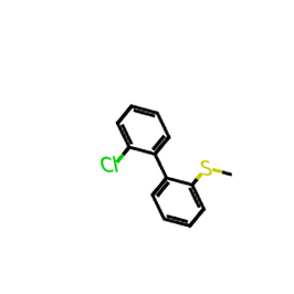 CSc1ccccc1-c1ccccc1Cl